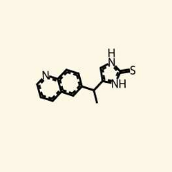 CC(c1ccc2ncccc2c1)c1c[nH]c(=S)[nH]1